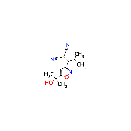 CC(C)C(c1cc(C(C)(C)O)on1)C(C#N)C#N